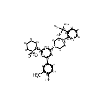 Cc1cc(-c2cc(N3CCN(c4ncccc4C(F)(F)F)CC3)nc(N3CCCCS3(=O)=O)n2)ccc1F